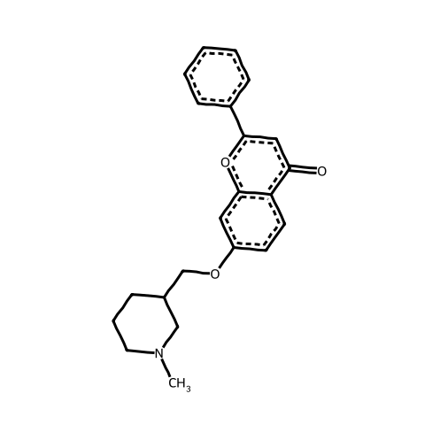 CN1CCCC(COc2ccc3c(=O)cc(-c4ccccc4)oc3c2)C1